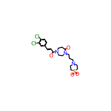 O=C(/C=C/c1ccc(Cl)c(Cl)c1)N1CCC(=O)N(CCCN2CCS(=O)(=O)CC2)CC1